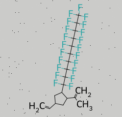 C=CC1CC(C(=C)C)C(C(F)(F)C(F)(F)C(F)(F)C(F)(F)C(F)(F)C(F)(F)C(F)(F)C(F)(F)C(F)(F)C(F)(F)F)C1